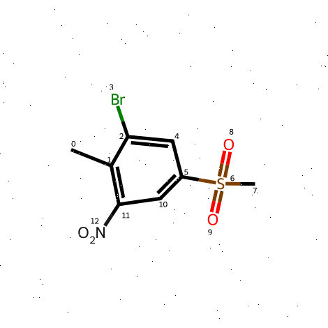 Cc1c(Br)cc(S(C)(=O)=O)cc1[N+](=O)[O-]